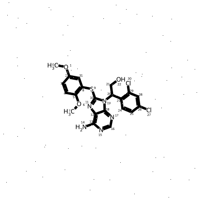 COc1ccc(OC)c(Sc2nc3c(N)ncnc3n2C(CO)c2ccc(Cl)cc2Cl)c1